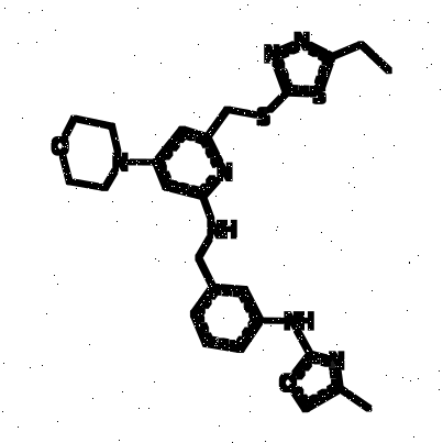 CCc1nnc(SCc2cc(N3CCOCC3)cc(NCc3cccc(Nc4nc(C)co4)c3)n2)s1